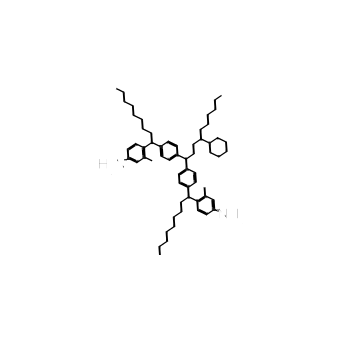 CCCCCCCCC(c1ccc(C(CCC(CCCCCC)C2CCCCC2)c2ccc(C(CCCCCCCC)c3ccc(N)cc3C)cc2)cc1)c1ccc(N)cc1C